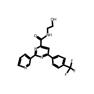 O=C(NCCO)c1cc(-c2ccc(C(F)(F)F)cc2)nc(-c2cccnc2)n1